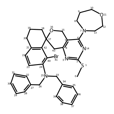 CSc1nc2c(c(N3CCCOCC3)n1)COC1(CCCc3ccc(N(Cc4ccccc4)Cc4ccccc4)c(Br)c31)C2